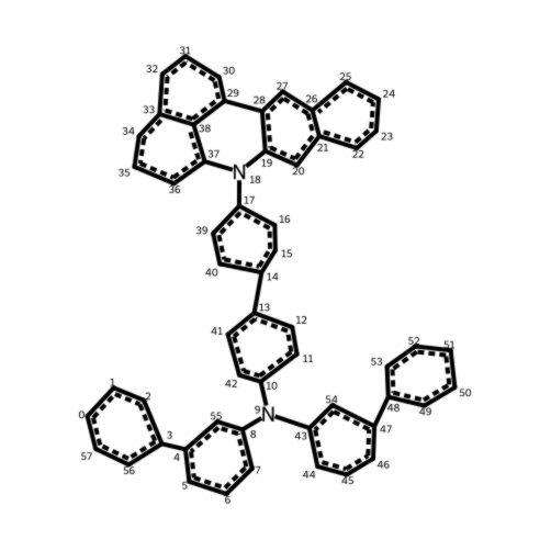 c1ccc(-c2cccc(N(c3ccc(-c4ccc(N5c6cc7ccccc7cc6-c6cccc7cccc5c67)cc4)cc3)c3cccc(-c4ccccc4)c3)c2)cc1